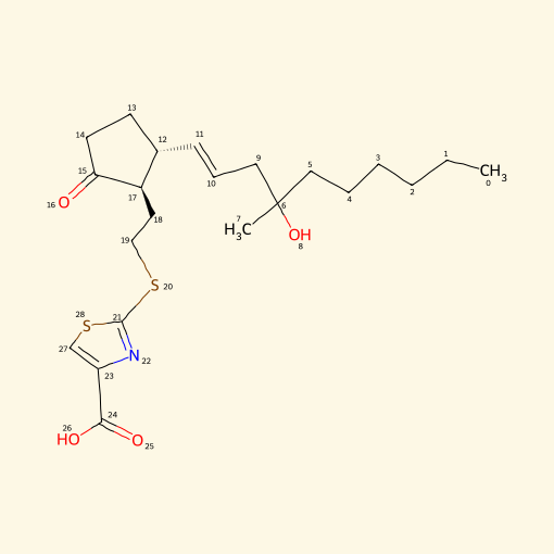 CCCCCCC(C)(O)C/C=C/[C@H]1CCC(=O)[C@@H]1CCSc1nc(C(=O)O)cs1